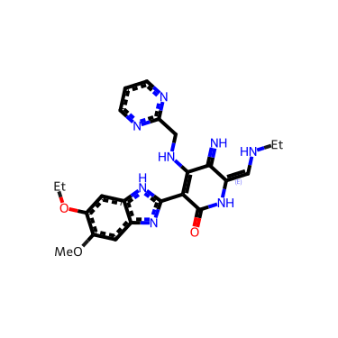 CCN/C=C1/NC(=O)C(c2nc3cc(OC)c(OCC)cc3[nH]2)=C(NCc2ncccn2)C1=N